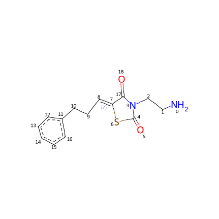 NCCN1C(=O)S/C(=C\CCc2ccccc2)C1=O